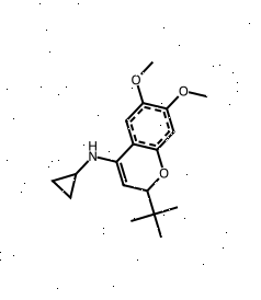 COc1cc2c(cc1OC)C(NC1CC1)=CC(C(C)(C)C)O2